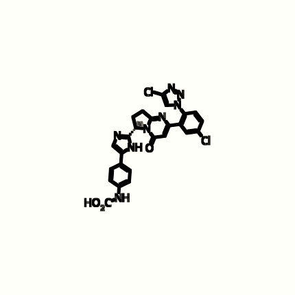 O=C(O)Nc1ccc(-c2cnc([C@@H]3CCc4nc(-c5cc(Cl)ccc5-n5cc(Cl)nn5)cc(=O)n43)[nH]2)cc1